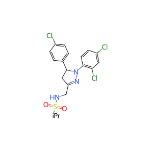 CC(C)S(=O)(=O)NCC1=NN(c2ccc(Cl)cc2Cl)C(c2ccc(Cl)cc2)C1